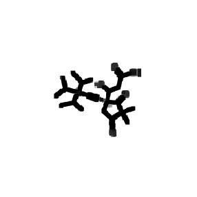 CC(C)[Si](C#C[C@@]1(C(O)CC(=O)O)CC(=O)C(C)(C)C1=O)(C(C)C)C(C)C